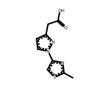 Cc1nc(-n2ccc(CC(=O)O)n2)cs1